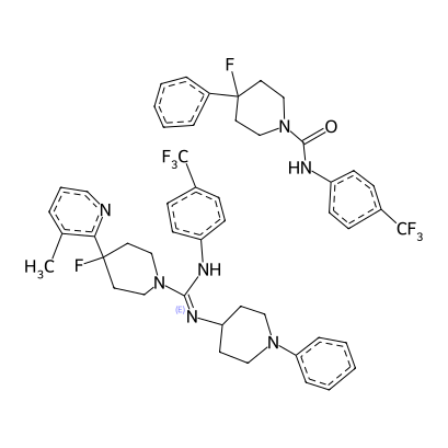 Cc1cccnc1C1(F)CCN(/C(=N/C2CCN(c3ccccc3)CC2)Nc2ccc(C(F)(F)F)cc2)CC1.O=C(Nc1ccc(C(F)(F)F)cc1)N1CCC(F)(c2ccccc2)CC1